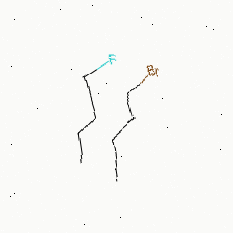 CCCCBr.CCCCF